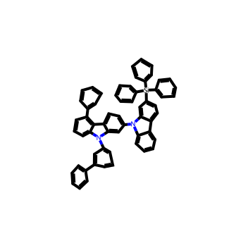 c1ccc(-c2cccc(-n3c4cc(-n5c6ccccc6c6ccc([Si](c7ccccc7)(c7ccccc7)c7ccccc7)cc65)ccc4c4c(-c5ccccc5)cccc43)c2)cc1